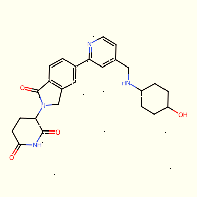 O=C1CCC(N2Cc3cc(-c4cc(CNC5CCC(O)CC5)ccn4)ccc3C2=O)C(=O)N1